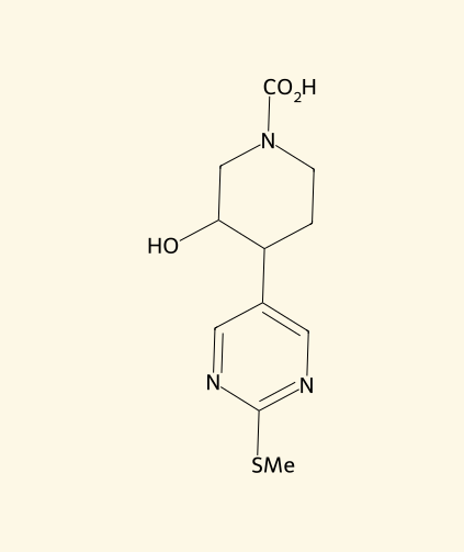 CSc1ncc(C2CCN(C(=O)O)CC2O)cn1